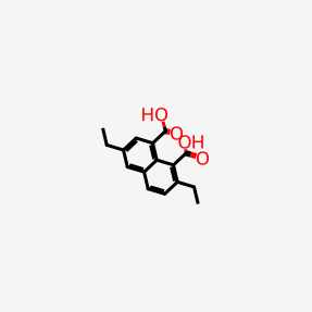 CCc1cc(C(=O)O)c2c(C(=O)O)c(CC)ccc2c1